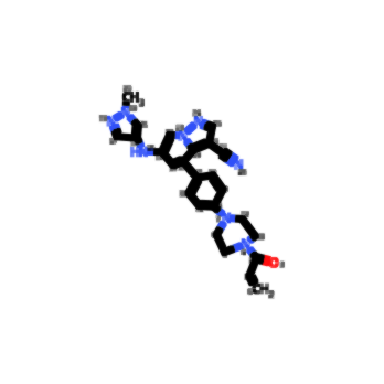 C=CC(=O)N1CCN(c2ccc(-c3cc(Nc4cnn(C)c4)cn4ncc(C#N)c34)cc2)CC1